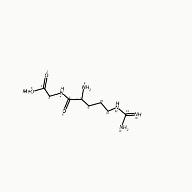 COC(=O)CNC(=O)C(N)CCCNC(=N)N